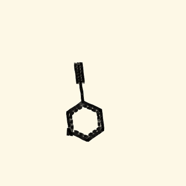 [C]#Cc1cccnc1